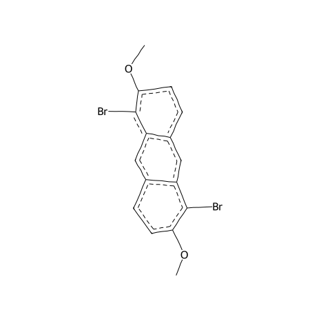 COc1ccc2cc3c(Br)c(OC)ccc3cc2c1Br